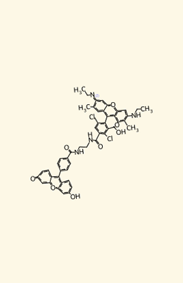 CC/N=c1/cc2oc3cc(NCC)c(C)cc3c(-c3c(Cl)cc(C(=O)NCCNC(=O)c4ccc(-c5c6ccc(=O)cc-6oc6cc(O)ccc56)cc4)c(Cl)c3C(=O)O)c-2cc1C